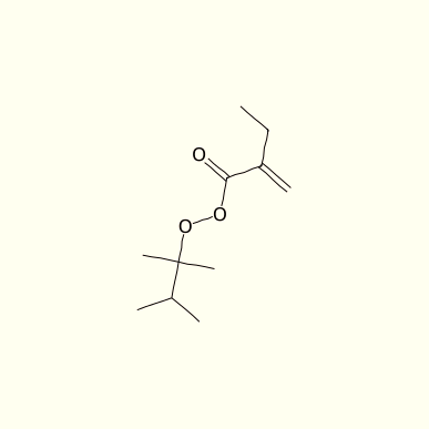 C=C(CC)C(=O)OOC(C)(C)C(C)C